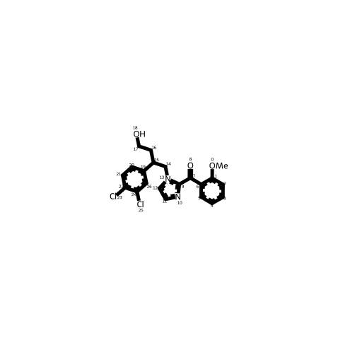 COc1ccccc1C(=O)c1nccn1CC(CCO)c1ccc(Cl)c(Cl)c1